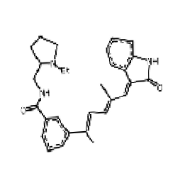 CCN1CCCC1CNC(=O)c1cccc(/C(C)=C/C=C(C)/C=C2/C(=O)Nc3ccccc32)c1